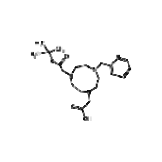 CC(C)(C)OC(=O)CN1CCN(CC(=O)O)CCN(Cc2ccccn2)CC1